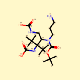 CC(C)(C)OC(=O)N(CCCN)C(CNC(=O)O)C(NC(=O)O)(C(C)(C)C)C(C)(C)C